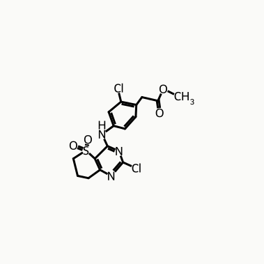 COC(=O)Cc1ccc(Nc2nc(Cl)nc3c2S(=O)(=O)CCC3)cc1Cl